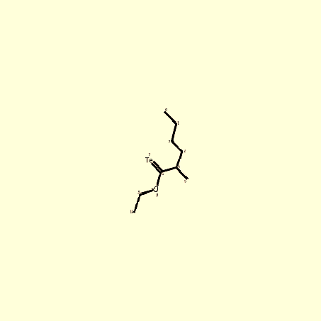 CCCCC(C)C(=[Te])OCC